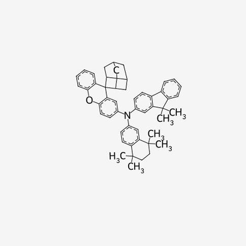 CC1(C)CCC(C)(C)c2cc(N(c3ccc4c(c3)C(C)(C)c3ccccc3-4)c3ccc4c(c3)C3(c5ccccc5O4)C4CC5CC6CC3C64C5)ccc21